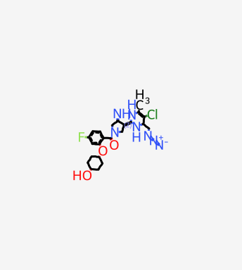 CC1=C(Cl)C(CN=[N+]=[N-])N/C(=C2\CN(C(=O)c3ccc(F)cc3OC3CCC(O)CC3)CC2=N)N1